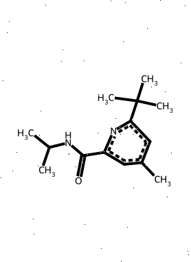 Cc1cc(C(=O)NC(C)C)nc(C(C)(C)C)c1